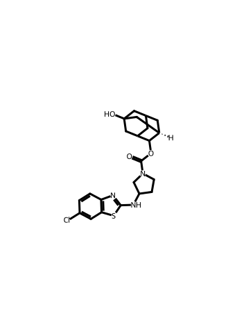 O=C(OC1C2CC3C[C@@H]1CC(O)(C3)C2)N1CCC(Nc2nc3ccc(Cl)cc3s2)C1